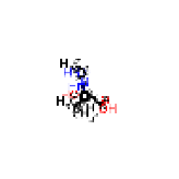 C=C/C=C\C(C=N)=N\Nc1cc(CCC(=O)O)cc(C(C)(C)CC)c1O